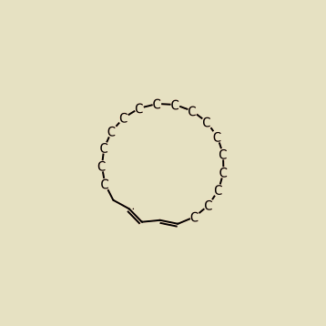 [C]1=C/C=C/CCCCCCCCCCCCCCCCC/1